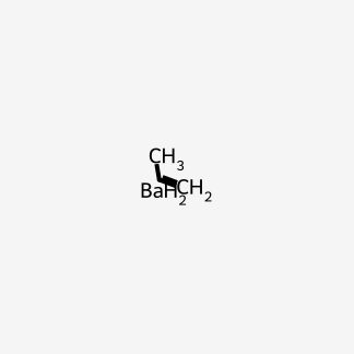 C=CC.[BaH2]